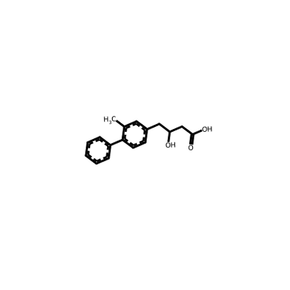 Cc1cc(CC(O)CC(=O)O)ccc1-c1ccccc1